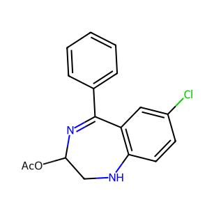 CC(=O)OC1CNc2ccc(Cl)cc2C(c2ccccc2)=N1